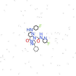 O=C(CN1c2nc(Nc3ccc(F)cc3)ccc2C(=O)N2N=C(C3CCCCC3)CC21)Nc1ccc(F)cn1